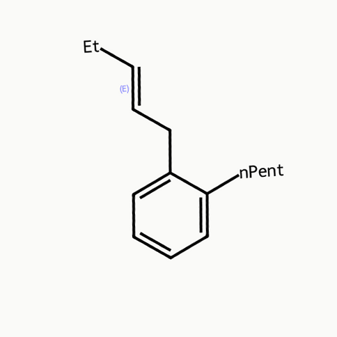 [CH2]CCCCc1ccccc1C/C=C/CC